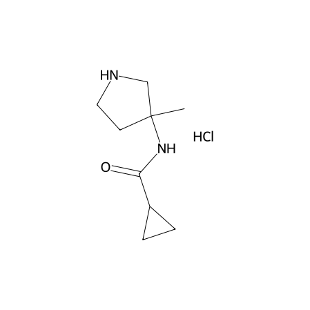 CC1(NC(=O)C2CC2)CCNC1.Cl